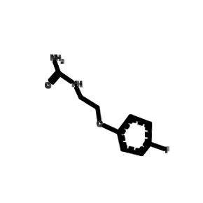 NC(=O)NCCOc1ccc(F)cc1